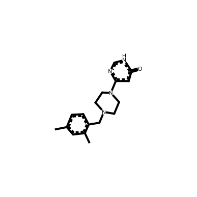 Cc1ccc(CN2CCN(c3cc(=O)[nH]cn3)CC2)c(C)c1